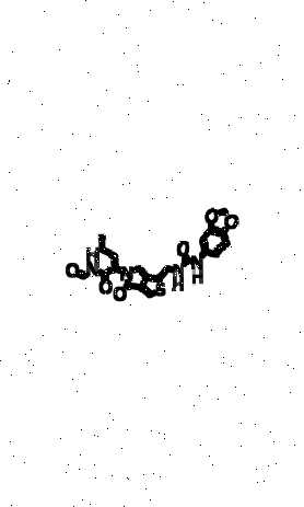 CCCC(C(=O)NC=O)N1Cc2c(csc2CNC(=O)Nc2ccc3c(c2)OCO3)C1=O